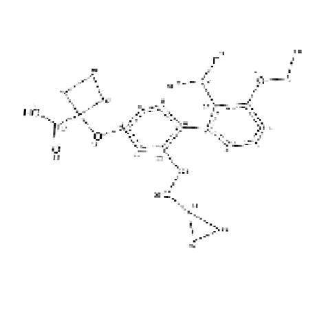 CCOc1cccc(-c2ccc(OC3(C(=O)O)CCC3)cc2COC2CC2)c1C(F)F